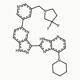 FC1(F)CCN(Cc2cncc(-c3ccc4[nH]nc(-c5nc6c(N7CCCCC7)ccnc6[nH]5)c4n3)c2)C1